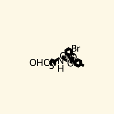 Cc1ccc(S(=O)(=O)N(CC(=O)NCc2csc(C=O)c2)c2cccc(Br)c2C)cc1